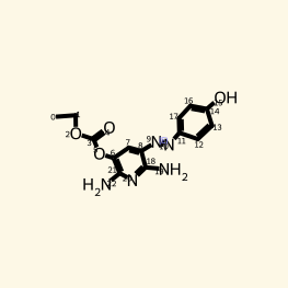 CCOC(=O)Oc1cc(/N=N/c2ccc(O)cc2)c(N)nc1N